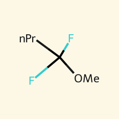 [CH2]CCC(F)(F)OC